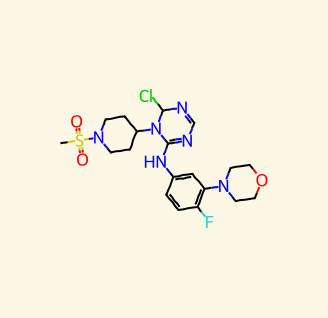 CS(=O)(=O)N1CCC(N2C(Nc3ccc(F)c(N4CCOCC4)c3)=NC=NC2Cl)CC1